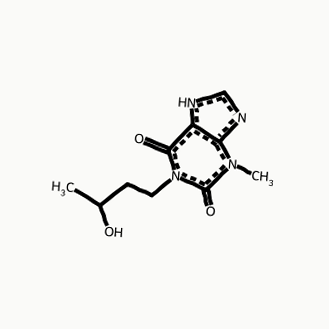 CC(O)CCn1c(=O)c2[nH]cnc2n(C)c1=O